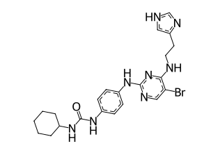 O=C(Nc1ccc(Nc2ncc(Br)c(NCCc3c[nH]cn3)n2)cc1)NC1CCCCC1